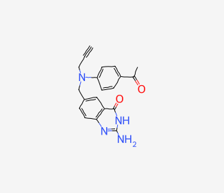 C#CCN(Cc1ccc2nc(N)[nH]c(=O)c2c1)c1ccc(C(C)=O)cc1